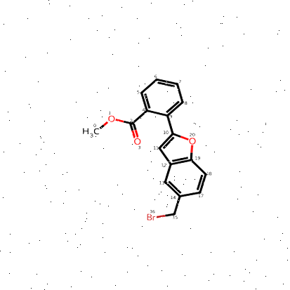 COC(=O)c1ccccc1-c1cc2cc(CBr)ccc2o1